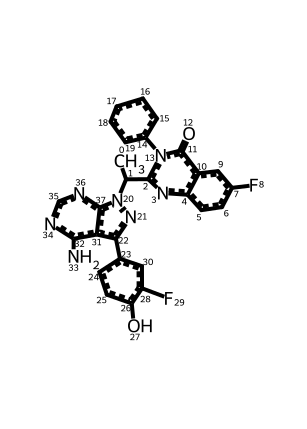 CC(c1nc2ccc(F)cc2c(=O)n1-c1ccccc1)n1nc(-c2ccc(O)c(F)c2)c2c(N)ncnc21